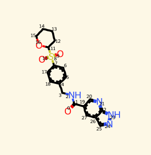 O=C(NCc1ccc(S(=O)(=O)C2CCCCO2)cc1)c1cnc2[nH]ncc2c1